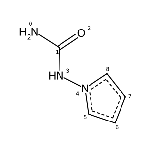 NC(=O)Nn1cccc1